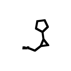 CNCC1CC1C1CCCC1